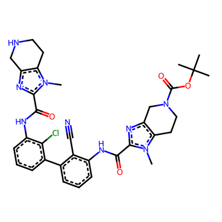 Cn1c(C(=O)Nc2cccc(-c3cccc(NC(=O)c4nc5c(n4C)CCN(C(=O)OC(C)(C)C)C5)c3C#N)c2Cl)nc2c1CCNC2